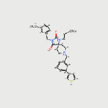 COCCN1C(=O)N(Cc2cccc(OC)c2)C(=O)C12CCN(Cc1cccc(-c3ccsc3)c1)CC2